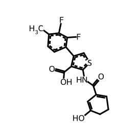 Cc1ccc(-c2csc(NC(=O)C3=CCCC(O)=C3)c2C(=O)O)c(F)c1F